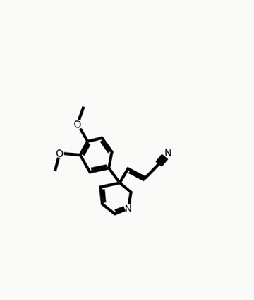 COc1ccc(C2(C=CC#N)C=CC=NC2)cc1OC